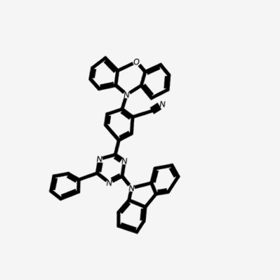 N#Cc1cc(-c2nc(-c3ccccc3)nc(-n3c4ccccc4c4ccccc43)n2)ccc1N1c2ccccc2Oc2ccccc21